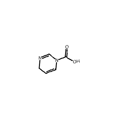 O=C(O)N1C=CCN=C1